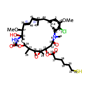 COc1cc2cc(c1Cl)N(C)C(=O)CC(OC(=O)CCCCCS)C1(C)OC1C(C)C1CC(O)(NC(=O)O1)C(OC)/C=C/C=C(\C)C2